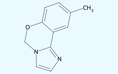 Cc1ccc2c(c1)-c1nccn1CO2